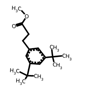 COC(=O)CCc1cc(C(C)(C)C)cc(C(C)(C)C)c1